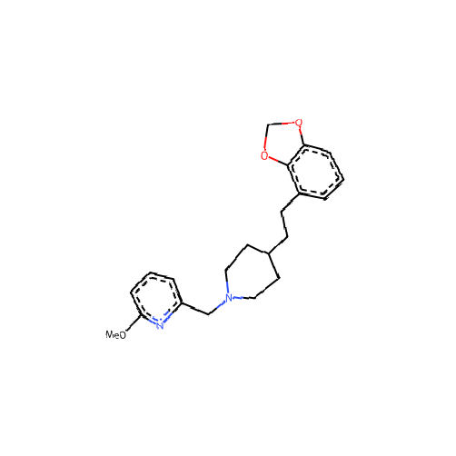 COc1cccc(CN2CCC(CCc3cccc4c3OCO4)CC2)n1